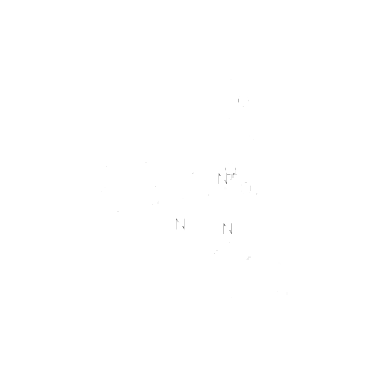 COc1ccc(CC2([N+](=O)[O-])CN(Cc3ccccc3)CCN(Cc3ccccc3)C2)cc1